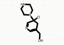 OCC1=CN=CC(Cl)(N2CCNCC2)C1